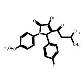 COc1ccc(N2C(=O)C(O)=C(C(=O)CC(C)C)C2c2ccc(F)cc2)cc1